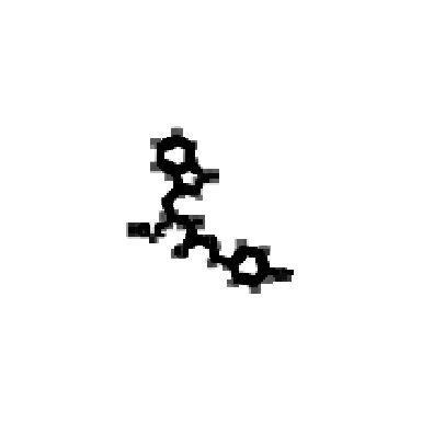 O=C(N[C@@H](Cc1c[nH]c2ccccc12)C(=O)O)OCc1ccc(Br)cc1